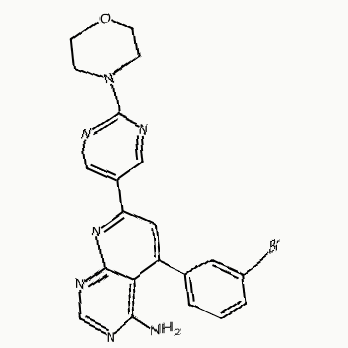 Nc1ncnc2nc(-c3cnc(N4CCOCC4)nc3)cc(-c3cccc(Br)c3)c12